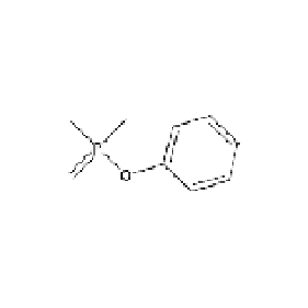 C=P(C)(C)Oc1ccccc1